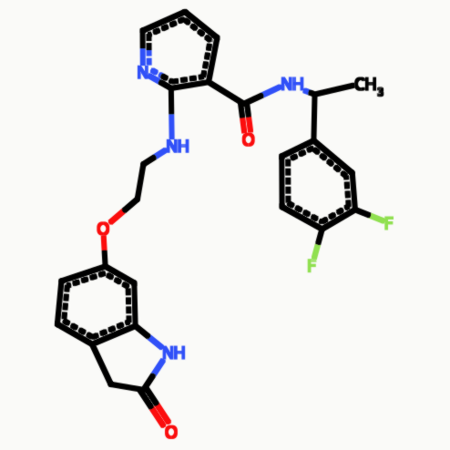 CC(NC(=O)c1cccnc1NCCOc1ccc2c(c1)NC(=O)C2)c1ccc(F)c(F)c1